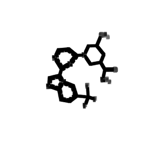 CC1CC(C(N)=O)CN(c2ccnc(-c3cnc4ccc(C(F)(F)F)cn34)n2)C1